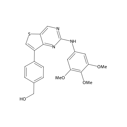 COc1cc(Nc2ncc3scc(-c4ccc(CO)cc4)c3n2)cc(OC)c1OC